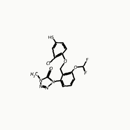 Cn1nnn(-c2cccc(OC(F)F)c2COc2ccc(S)cc2Cl)c1=O